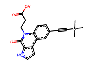 C[Si](C)(C)C#Cc1ccc2c(c1)c1cc[nH]c1c(=O)n2CCC(=O)O